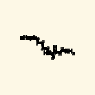 CCCCCCCCCCCCNC(C)NCCN